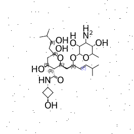 CC(C)/C=C/[C@@H](C[C@@H]1O[C@](O)(C[C@@H](O)C(C)C)C[C@H](O)[C@H]1C(=O)N[C@H]1C[C@H](O)C1)OC1OC(C)C(O)C(N)C1O